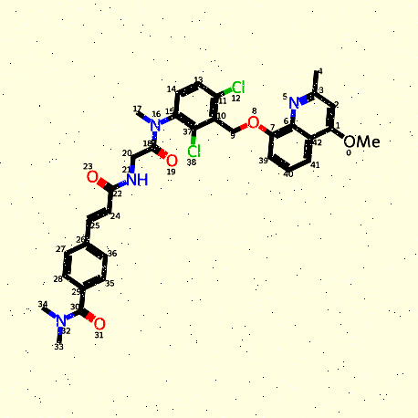 COc1cc(C)nc2c(OCc3c(Cl)ccc(N(C)C(=O)CNC(=O)C=Cc4ccc(C(=O)N(C)C)cc4)c3Cl)cccc12